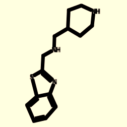 c1ccc2sc(CNCC3CCNCC3)nc2c1